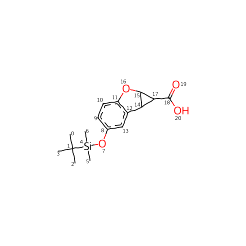 CC(C)(C)[Si](C)(C)Oc1ccc2c(c1)C1C(O2)C1C(=O)O